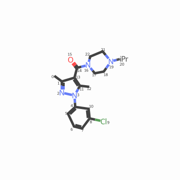 Cc1nn(-c2cccc(Cl)c2)c(C)c1C(=O)N1CCN(C(C)C)CC1